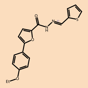 CCOc1ccc(-c2ccc(C(=O)N/N=C/c3cccs3)o2)cc1